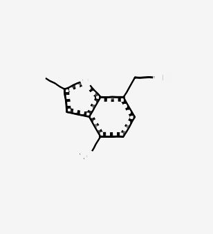 Cc1cc2c(C#N)ccc(CO)c2o1